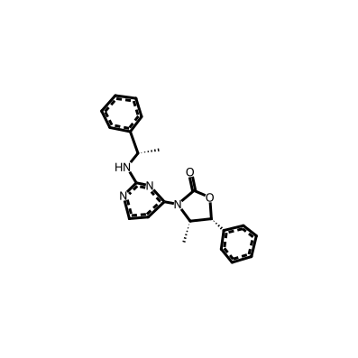 C[C@H](Nc1nccc(N2C(=O)O[C@H](c3ccccc3)[C@@H]2C)n1)c1ccccc1